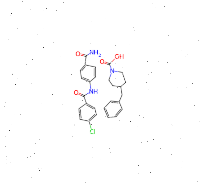 NC(=O)c1ccc(NC(=O)c2ccc(Cl)cc2)cc1.O=C(O)N1CCC(Cc2ccccc2)CC1